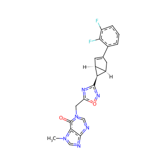 Cn1cnc2ncn(Cc3nc([C@H]4[C@H]5C=C(c6cccc(F)c6F)C[C@H]54)no3)c(=O)c21